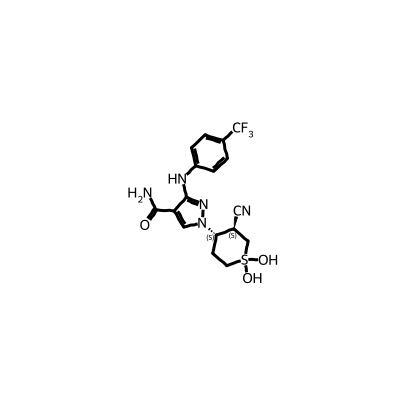 N#C[C@H]1CS(O)(O)CC[C@@H]1n1cc(C(N)=O)c(Nc2ccc(C(F)(F)F)cc2)n1